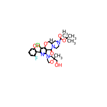 CC(C)(C)OC(=O)N1CCN2C(=O)c3c(N4CCOC(C)(CO)C4)nc(-c4c(O)cccc4F)c(Cl)c3OC[C@H]2C1